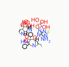 CCC1=C[C@@H]2C[N@](C1)Cc1c([nH]c3ccccc13)[C@@](C(=O)OC)(c1cc3c(cc1OC)N(C)[C@H]1[C@@](O)(C(=O)OC)[C@H](OC(C)=O)[C@]4(CC)C=CCN5CC[C@]31[C@@H]54)C2.Nc1nc(F)nc2c1ncn2[C@@H]1O[C@H](CO)[C@@H](O)[C@@H]1O